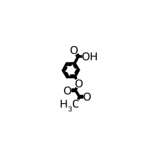 CC(=O)C(=O)Oc1cccc(C(=O)O)c1